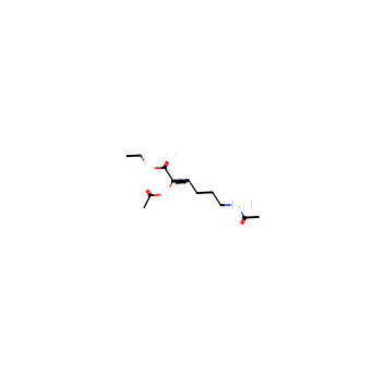 CCOC(=O)/C(=C/CCCNC(C)=O)OC(C)=O